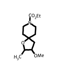 CCOC(=O)N1CCC2(CC1)CC(OC)C(C)O2